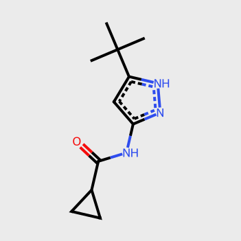 CC(C)(C)c1cc(NC(=O)C2CC2)n[nH]1